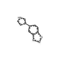 c1cc(-c2ccc3onnc3c2)c[nH]1